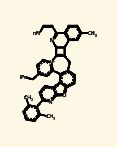 CCC/C=C\C1=NC2C3=C(Cc4ccc5oc6nc(-c7c(C)cccc7C)ccc6c5c4-c4cc(CC(C)C)cc[n+]43)C2c2cc(C)ccc21